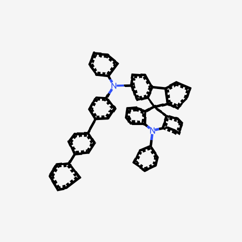 c1ccc(-c2ccc(-c3ccc(N(c4ccccc4)c4ccc5c(c4)C4(c6ccccc6-5)c5ccccc5N(c5ccccc5)c5ccccc54)cc3)cc2)cc1